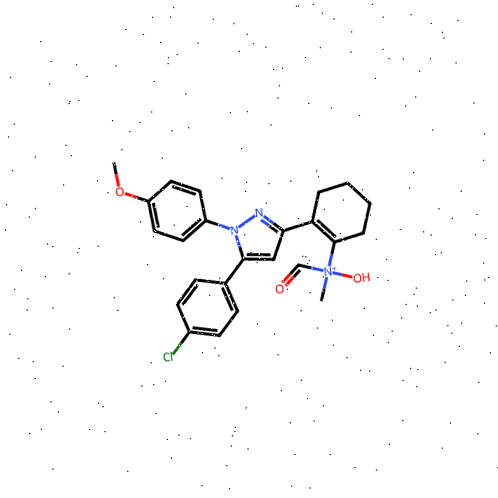 COc1ccc(-n2nc(C3=C([N+](C)(O)C=O)CCCC3)cc2-c2ccc(Cl)cc2)cc1